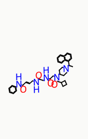 CC(c1cccc2ccccc12)N1CCC(N(CC(=O)NCC(=O)NCC=CC(=O)Nc2ccccc2)C(=O)C2CCC2)CC1